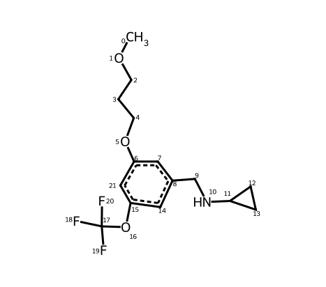 COCCCOc1cc(CNC2CC2)cc(OC(F)(F)F)c1